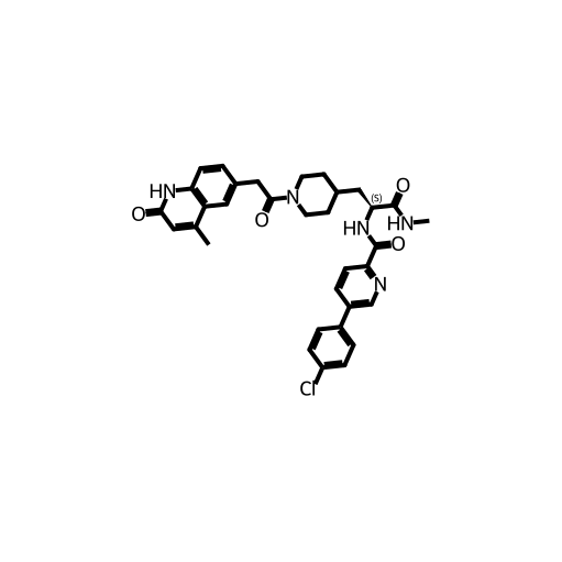 CNC(=O)[C@H](CC1CCN(C(=O)Cc2ccc3[nH]c(=O)cc(C)c3c2)CC1)NC(=O)c1ccc(-c2ccc(Cl)cc2)cn1